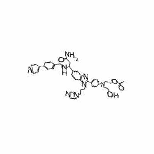 CC(=O)OCCN(CCO)c1ccc(-c2nc3cc(C(CC(N)=O)NCc4ccc(-c5ccncc5)cc4)ccc3n2CCCn2ccnc2)cc1